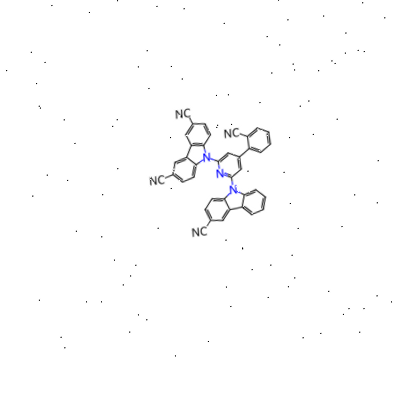 N#Cc1ccc2c(c1)c1ccccc1n2-c1cc(-c2ccccc2C#N)cc(-n2c3ccc(C#N)cc3c3cc(C#N)ccc32)n1